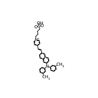 Cc1cccc(N(c2cccc(C)c2)c2ccc3cc(/C=C/c4cc[n+](CCCCS(=O)(=O)O)cc4)ccc3c2)c1